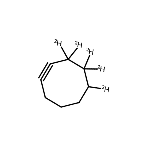 [2H]C1CCCC#CC([2H])([2H])C1([2H])[2H]